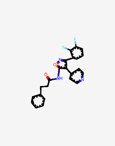 O=C(CCc1ccccc1)Nc1onc(-c2cccc(F)c2F)c1-c1ccncc1